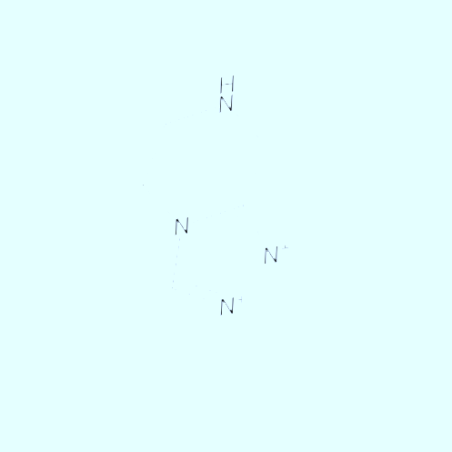 C1=[N+]=[N+]=C2CNCCN12